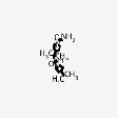 CC(C)C1CCN(C(=O)NCC(C)(C)C2CCN(C(=O)CN)CC2)CC1